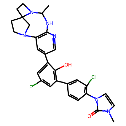 CC1Nc2ncc(-c3cc(F)cc(-c4ccc(-n5ccn(C)c5=O)c(Cl)c4)c3O)cc2N2CCC3(CCN13)C2